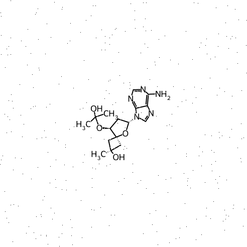 CC(C)(O)O[C@H]1C[C@H](n2cnc3c(N)ncnc32)O[C@]12C[C@@](C)(O)C2